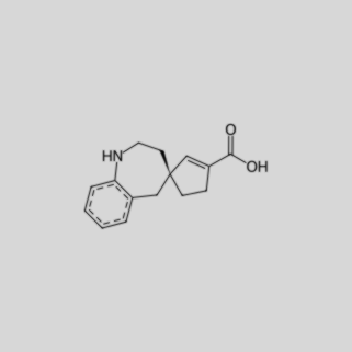 O=C(O)C1=C[C@]2(CCNc3ccccc3C2)CC1